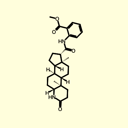 COC(=O)c1ccccc1NC(=O)[C@H]1CC[C@H]2[C@@H]3CC[C@H]4NC(=O)CC[C@]4(C)[C@H]3CC[C@]12C